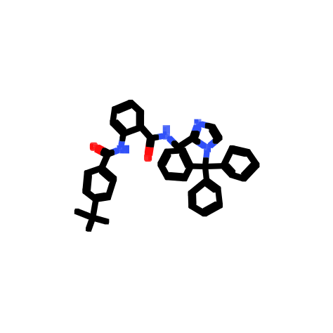 CC(C)(C)c1ccc(C(=O)Nc2ccccc2C(=O)NCc2nccn2C(c2ccccc2)(c2ccccc2)c2ccccc2)cc1